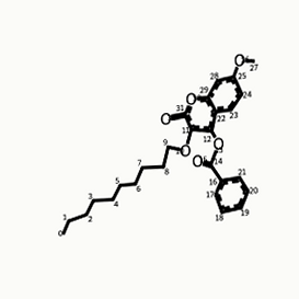 CCCCCCCCCCOc1c(OC(=O)c2ccccc2)c2ccc(OC)cc2oc1=O